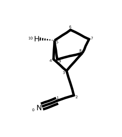 N#CCC1C[C@H]2CCC1C2